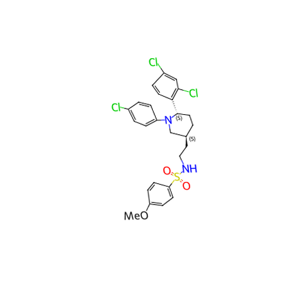 COc1ccc(S(=O)(=O)NCC[C@@H]2CC[C@@H](c3ccc(Cl)cc3Cl)N(c3ccc(Cl)cc3)C2)cc1